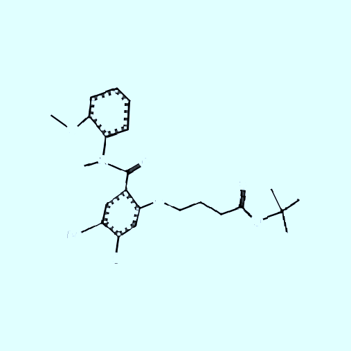 COc1ccccc1N(C)C(=O)c1cc(Br)c(Cl)cc1OCCCC(=O)OC(C)(C)C